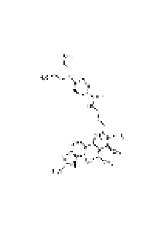 C=C(C(C(=C)N(C)CCCCNC(=O)c1cnc(N(CCC)CCC)nc1)=C(C)C)c1ccc2oc(N)nc2c1